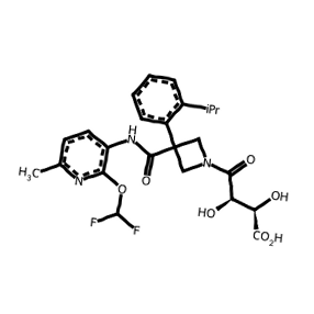 Cc1ccc(NC(=O)C2(c3ccccc3C(C)C)CN(C(=O)[C@H](O)[C@@H](O)C(=O)O)C2)c(OC(F)F)n1